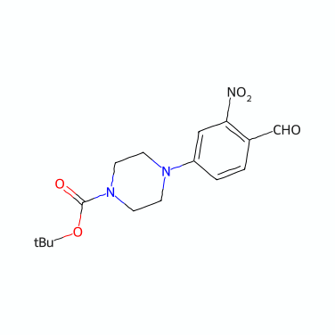 CC(C)(C)OC(=O)N1CCN(c2ccc(C=O)c([N+](=O)[O-])c2)CC1